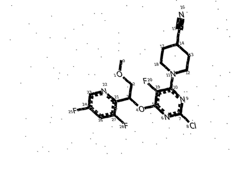 COCC(Oc1nc(Cl)nc(N2CCC(C#N)CC2)c1F)c1ncc(F)cc1F